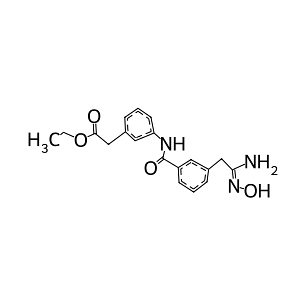 CCOC(=O)Cc1cccc(NC(=O)c2cccc(CC(N)=NO)c2)c1